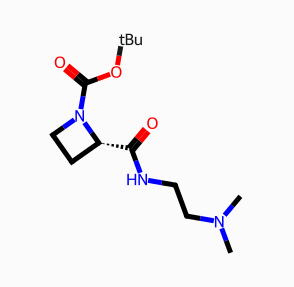 CN(C)CCNC(=O)[C@@H]1CCN1C(=O)OC(C)(C)C